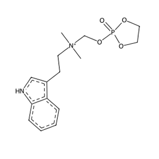 C[N+](C)(CCc1c[nH]c2ccccc12)COP1(=O)OCCO1